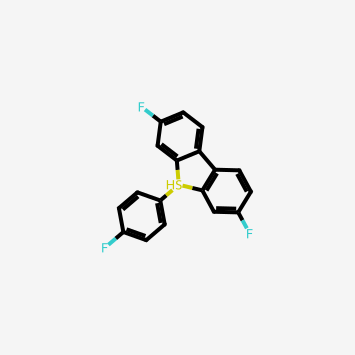 Fc1ccc([SH]2c3cc(F)ccc3-c3ccc(F)cc32)cc1